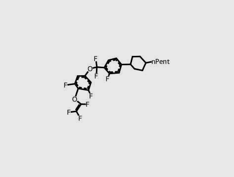 CCCCCC1CCC(c2ccc(C(F)(F)Oc3cc(F)c(OC(F)=C(F)F)c(F)c3)c(F)c2)CC1